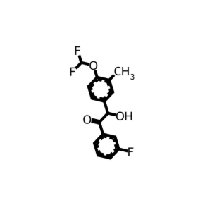 Cc1cc(C(O)C(=O)c2cccc(F)c2)ccc1OC(F)F